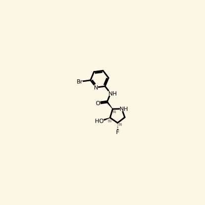 O=C(Nc1cccc(Br)n1)[C@H]1NC[C@H](F)[C@H]1O